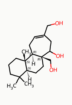 CC1(C)CCC[C@@]2(C)[C@H]1CC[C@@]1(CO)C(O)CC(CO)=CC[C@@H]12